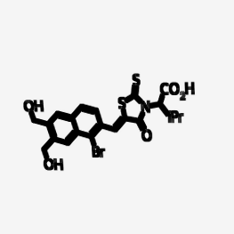 CC(C)C(C(=O)O)N1C(=O)/C(=C/c2ccc3cc(CO)c(CO)cc3c2Br)SC1=S